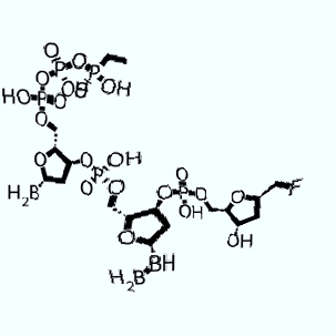 BB[C@H]1C[C@H](OP(=O)(O)OC[C@H]2O[C@@H](CF)C[C@@H]2O)[C@@H](COP(=O)(O)O[C@H]2C[C@H](B)O[C@@H]2COP(=O)(O)OP(=O)(O)OP(=O)(O)CC)O1